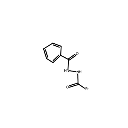 CC(C)C(=O)NNC(=O)c1ccccc1